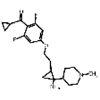 CN1CCC(C2(N)CC2CCOc2cc(F)c(C(=O)C3CC3)c(F)c2)CC1